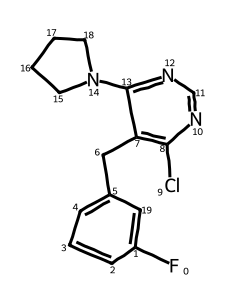 Fc1cccc(Cc2c(Cl)ncnc2N2CCCC2)c1